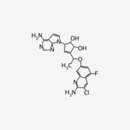 CC(Oc1cc(F)c2cc(Cl)c(N)nc2c1)C1=CC(n2ccc3c(N)ncnc32)C(O)C1O